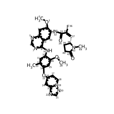 COc1cc2ncnc(Nc3cc(C)c(Oc4ccn5ncnc5c4)cc3OC)c2cc1NC(=O)/C(F)=C\[C@H]1CCC(=O)N1C